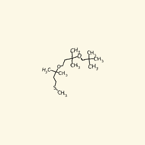 CSCCC(C)(C)OCCC(C)(C)OCC(C)(C)C